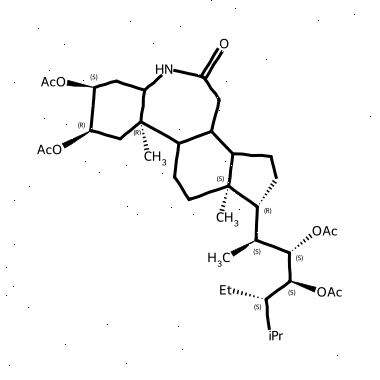 CC[C@@H](C(C)C)[C@H](OC(C)=O)[C@@H](OC(C)=O)[C@@H](C)[C@H]1CCC2C3CC(=O)NC4C[C@H](OC(C)=O)[C@H](OC(C)=O)C[C@]4(C)C3CC[C@@]21C